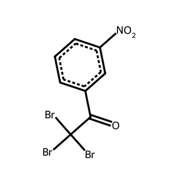 O=C(c1cccc([N+](=O)[O-])c1)C(Br)(Br)Br